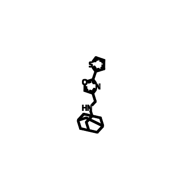 c1csc(-c2nc(CNC34CC5CC(CC(C5)C3)C4)co2)c1